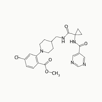 COC(=O)c1ccc(Cl)cc1N1CCC(CNC(=O)C2(NC(=O)c3cncnc3)CC2)CC1